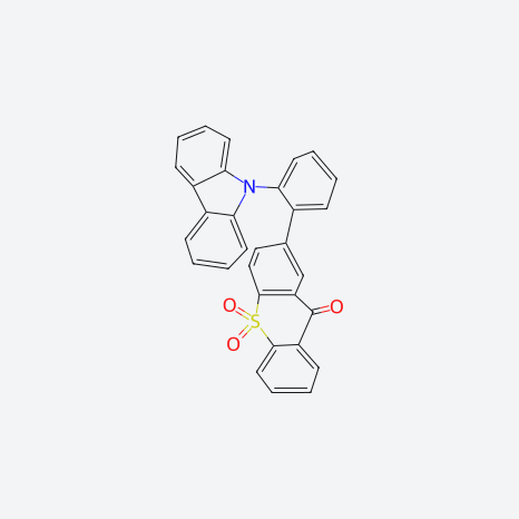 O=C1c2ccccc2S(=O)(=O)c2ccc(-c3ccccc3-n3c4ccccc4c4ccccc43)cc21